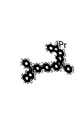 CC(C)[C@@H]1c2ccccc2-c2c1ccc1cc3c(cc21)c1cc(-c2ccc(-c4ccc(N(c5ccccc5)c5ccc6ccccc6c5)cc4)cc2)ccc1n3-c1ccccc1